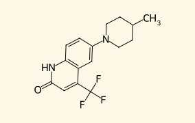 CC1CCN(c2ccc3[nH]c(=O)cc(C(F)(F)F)c3c2)CC1